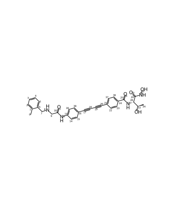 Cc1ccccc1CNCC(=O)Nc1ccc(C#CC#Cc2ccc(C(=O)N[C@H](C(=O)NO)[C@@H](C)O)cc2)cc1